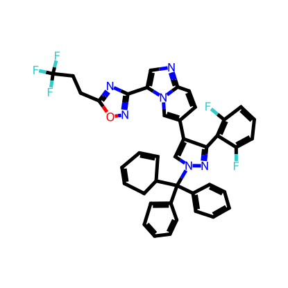 Fc1cccc(F)c1-c1nn(C(c2ccccc2)(c2ccccc2)C2C=CC=CC2)cc1-c1ccc2ncc(-c3noc(CCC(F)(F)F)n3)n2c1